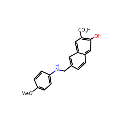 COc1ccc(NCc2ccc3cc(O)c(C(=O)O)cc3c2)cc1